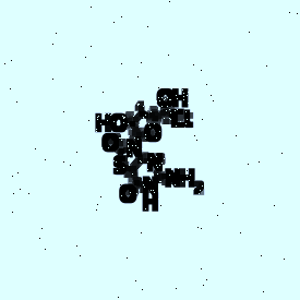 CC[C@H](O)[C@@H]1C[C@@H](O)[C@H](n2c(=O)sc3c(=O)[nH]c(N)nc32)O1